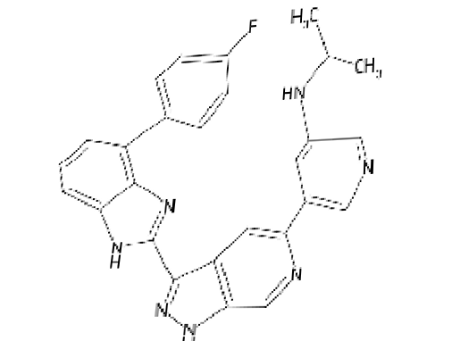 CC(C)Nc1cncc(-c2cc3c(-c4nc5c(-c6ccc(F)cc6)cccc5[nH]4)n[nH]c3cn2)c1